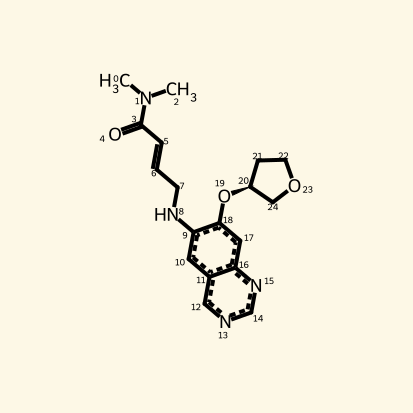 CN(C)C(=O)C=CCNc1cc2cncnc2cc1O[C@H]1CCOC1